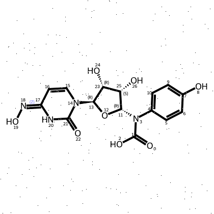 O=C(O)N(c1ccc(O)cc1)[C@@H]1O[C@@H](n2cc/c(=N/O)[nH]c2=O)[C@H](O)[C@@H]1O